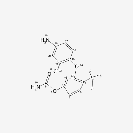 CC(C)(C)c1ccc(OC(N)=O)cc1Oc1ccc(N)cc1Cl